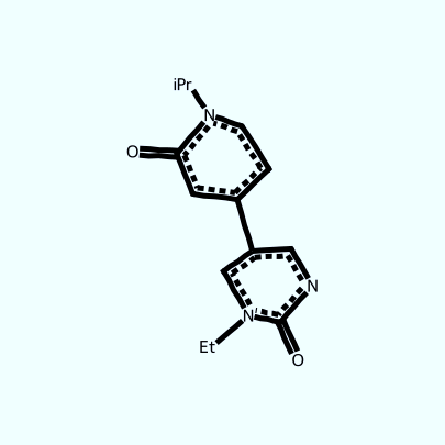 CCn1cc(-c2ccn(C(C)C)c(=O)c2)cnc1=O